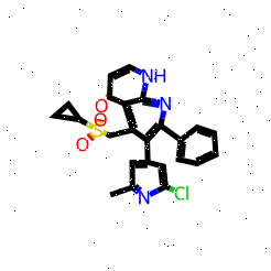 Cc1cc(-c2c(-c3ccccc3)nc3[nH]ccc(=O)c3c2CS(=O)(=O)C2CC2)cc(Cl)n1